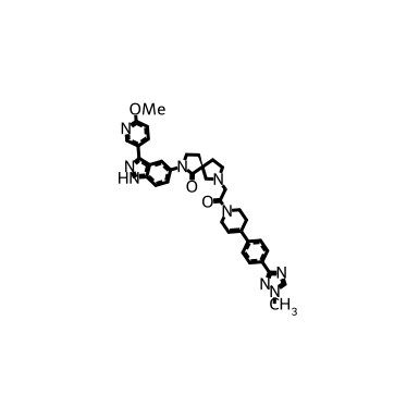 COc1ccc(-c2n[nH]c3ccc(N4CC[C@]5(CCN(CC(=O)N6CC=C(c7ccc(-c8ncn(C)n8)cc7)CC6)C5)C4=O)cc23)cn1